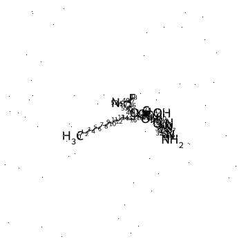 CCCCCCCCCCCCCCC#CC[C@H](COP(=O)(O)OC[C@H]1O[C@@](C#N)(c2ccc3c(N)ncnn23)C[C@@H]1O)OCc1cc(F)cc(C#N)c1